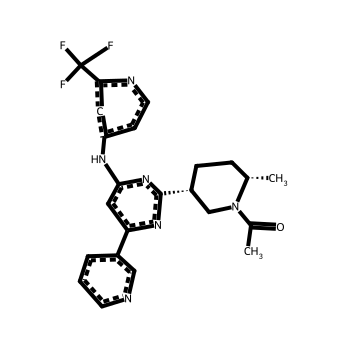 CC(=O)N1C[C@H](c2nc(Nc3ccnc(C(F)(F)F)c3)cc(-c3cccnc3)n2)CC[C@@H]1C